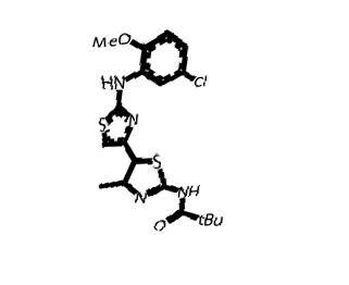 COc1ccc(Cl)cc1Nc1nc(C2SC(NC(=O)C(C)(C)C)=NC2C)cs1